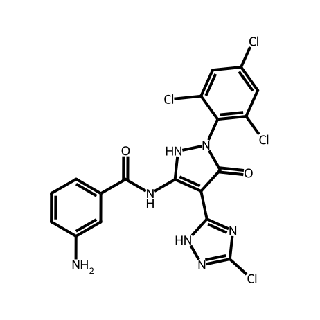 Nc1cccc(C(=O)Nc2[nH]n(-c3c(Cl)cc(Cl)cc3Cl)c(=O)c2-c2nc(Cl)n[nH]2)c1